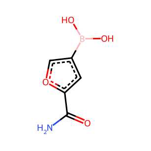 NC(=O)c1cc(B(O)O)co1